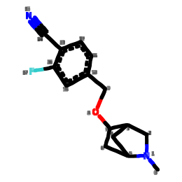 CN1CC2CC1CC2OCc1ccc(C#N)c(F)c1